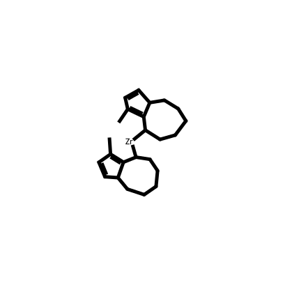 CC1=C2C(C=C1)CCCCC[CH]2[Zr][CH]1CCCCCC2C=CC(C)=C21